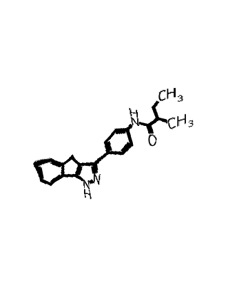 CCC(C)C(=O)Nc1ccc(-c2n[nH]c3c2Cc2ccccc2-3)cc1